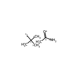 CC(C)(C)I.CC(N)=O